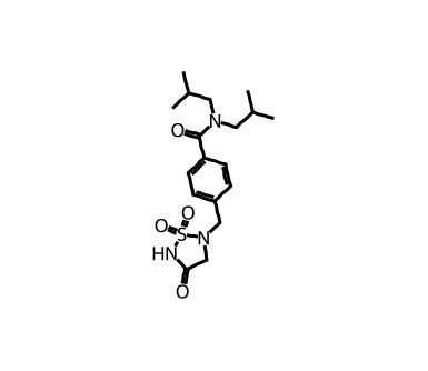 CC(C)CN(CC(C)C)C(=O)c1ccc(CN2CC(=O)NS2(=O)=O)cc1